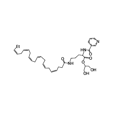 CC/C=C\C/C=C\C/C=C\C/C=C\C/C=C\C/C=C\CCC(=O)NCCCC(NC(=O)c1cccnc1)C(=O)OC(CO)CO